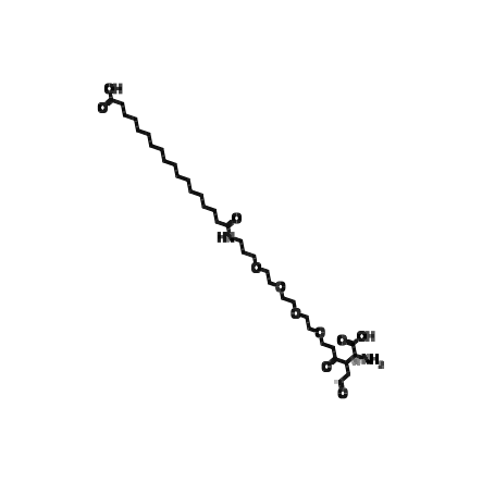 N[C@H](C(=O)O)C(C[C]=O)C(=O)CCOCCOCCOCCOCCCNC(=O)CCCCCCCCCCCCCCCCC(=O)O